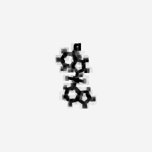 C[Si](C)(c1cccc2c1C=CC2)C1C=Cc2c(Cl)cccc21